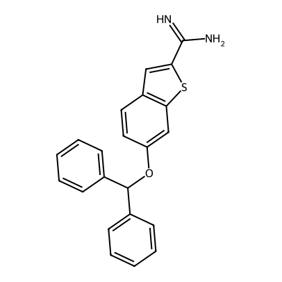 N=C(N)c1cc2ccc(OC(c3ccccc3)c3ccccc3)cc2s1